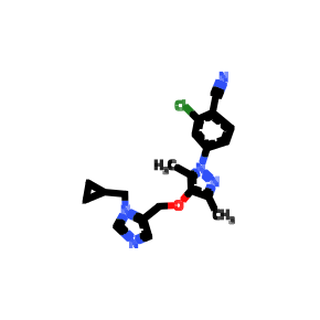 Cc1nn(-c2ccc(C#N)c(Cl)c2)c(C)c1OCc1cncn1CC1CC1